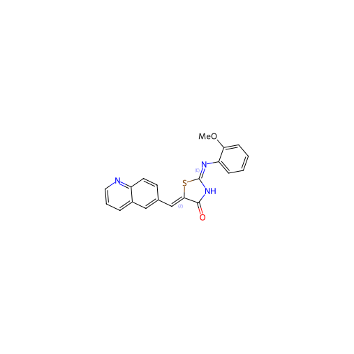 COc1ccccc1/N=C1\NC(=O)/C(=C/c2ccc3ncccc3c2)S1